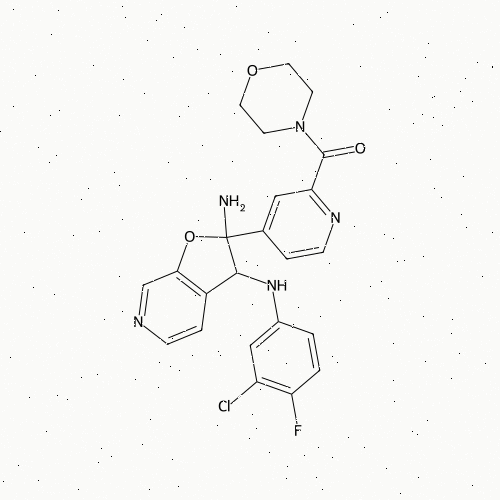 NC1(c2ccnc(C(=O)N3CCOCC3)c2)Oc2cnccc2C1Nc1ccc(F)c(Cl)c1